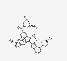 COc1cc(C(=O)N2C[C@H](N)C[C@@H](F)C2)cc2nc(-c3cc4cccc(C5CCN(C(C)=O)CC5)c4n3CC3CC3)n(Cc3cnn(C)c3)c12